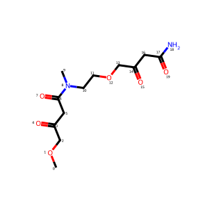 COCC(=O)CC(=O)N(C)CCOCC(=O)CC(N)=O